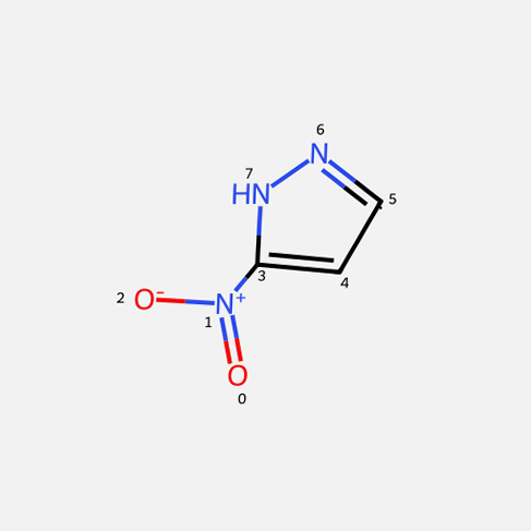 O=[N+]([O-])c1c[c]n[nH]1